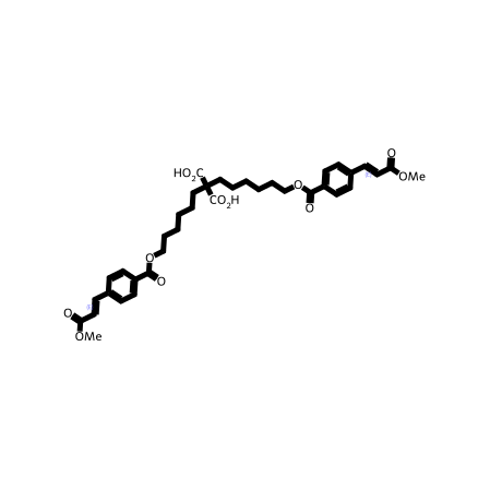 COC(=O)/C=C/c1ccc(C(=O)OCCCCCCC(CCCCCCOC(=O)c2ccc(/C=C/C(=O)OC)cc2)(C(=O)O)C(=O)O)cc1